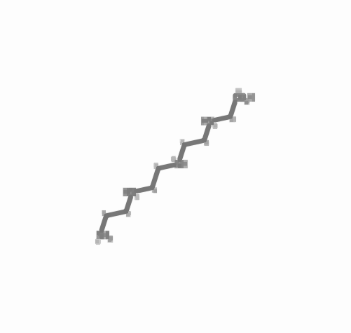 NCCNCCNCCNCC(=O)O